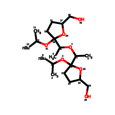 CCCCC(C)OC1(C(C)OC(C)C2(OC(C)CCCC)CCC(CO)O2)CCC(CO)O1